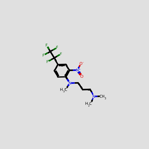 CN(C)CCCN(C)c1ccc(C(F)(F)C(F)(F)F)cc1[N+](=O)[O-]